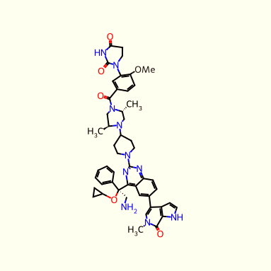 COc1ccc(C(=O)N2C[C@H](C)N(C3CCN(c4nc([C@@](CN)(OC5CC5)c5ccccc5)c5cc(-c6cn(C)c(=O)c7[nH]ccc67)ccc5n4)CC3)C[C@H]2C)cc1N1CCC(=O)NC1=O